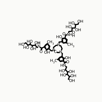 Cc1cc(CN2CCN(Cc3cc(C)cc(C(=O)NCC(O)C(O)C(O)C(O)CO)c3O)CCN(Cc3cc(C)cc(C(=O)NCC(O)C(O)C(O)C(O)CO)c3O)CC2)c(O)c(C(=O)NCC(O)C(O)C(O)C(O)CO)c1